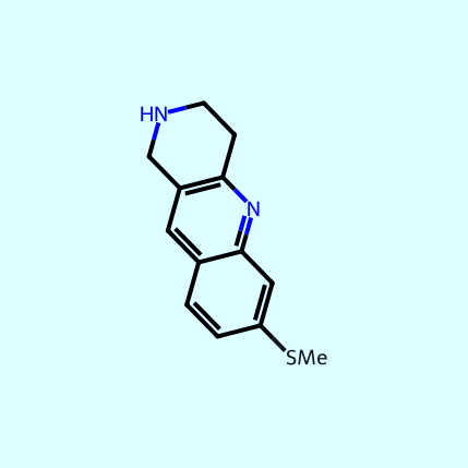 CSc1ccc2cc3c(nc2c1)CCNC3